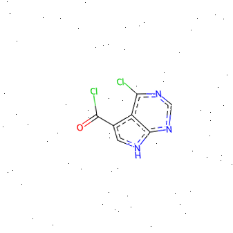 O=C(Cl)c1c[nH]c2ncnc(Cl)c12